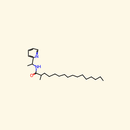 CCCCCCCCCCCCCCC(C)C(=O)NC(C)c1ccccn1